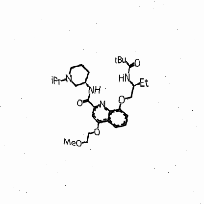 CC[C@@H](COc1cccc2c(OCCOC)cc(C(=O)N[C@@H]3CCCN(C(C)C)C3)nc12)NC(=O)C(C)(C)C